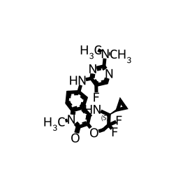 CN(C)c1ncc(F)c(Nc2ccc3c(c2)c2c(c(=O)n3C)OCC(F)(F)[C@H](C3CC3)N2)n1